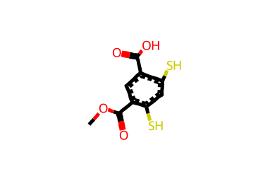 COC(=O)c1cc(C(=O)O)c(S)cc1S